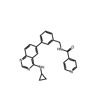 O=C(NCc1cccc(-c2ccc3ncnc(NC4CC4)c3c2)c1)c1ccncc1